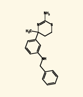 CC1(c2cccc(NCc3ccccc3)c2)CCSC(N)=N1